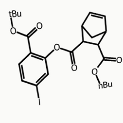 CCCCOC(=O)C1C2C=CC(C2)C1C(=O)Oc1cc(I)ccc1C(=O)OC(C)(C)C